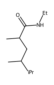 CCNC(=O)C(C)CC(C)C(C)C